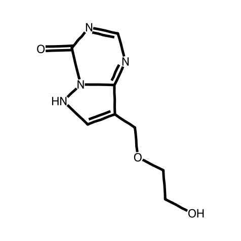 O=c1ncnc2c(COCCO)c[nH]n12